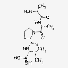 CC(N)C(=O)NC(C)C(=O)N1CCCC1C(=S)NC(B(O)O)C(C)C